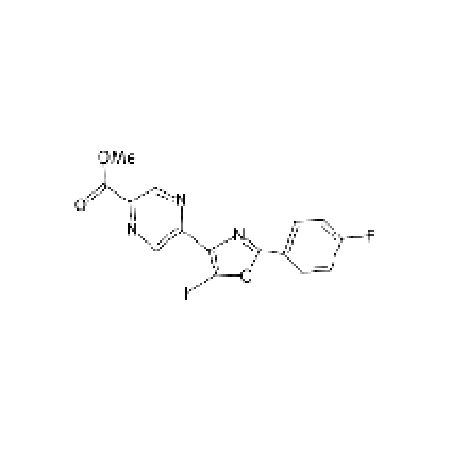 COC(=O)c1cnc(-c2nc(-c3ccc(F)cc3)oc2I)cn1